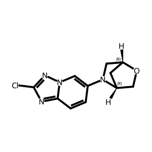 Clc1nc2ccc(N3C[C@H]4C[C@@H]3CO4)cn2n1